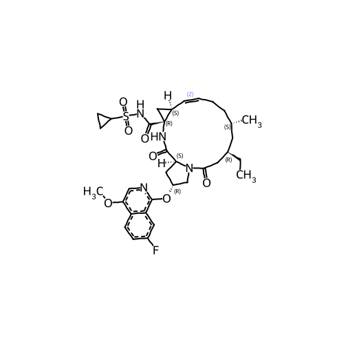 CC[C@H]1CC(=O)N2C[C@H](Oc3ncc(OC)c4ccc(F)cc34)C[C@H]2C(=O)N[C@]2(C(=O)NS(=O)(=O)C3CC3)C[C@H]2/C=C\CC[C@H](C)C1